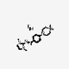 CN1C=CN(C)C1N=Nc1ccc(N2CC[N+](C)(C)CC2)cc1.I.[I-]